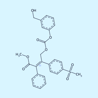 COC(=O)/C(=C(\COC(=O)Oc1cccc(CO)c1)c1ccc(S(C)(=O)=O)cc1)c1ccccc1